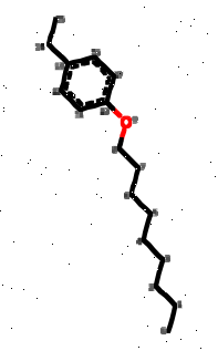 CCCCCCCCCOc1ccc(CC)cc1